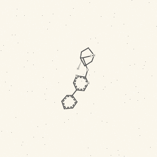 c1ccc(-c2cnc(O[C@@H]3CN4CCC3CC4)nc2)cc1